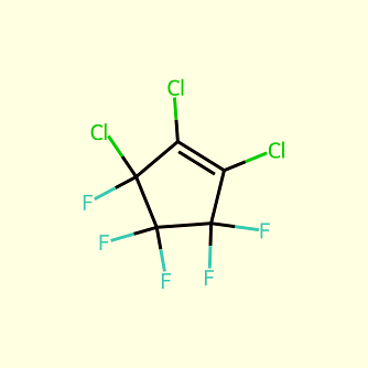 FC1(F)C(Cl)=C(Cl)C(F)(Cl)C1(F)F